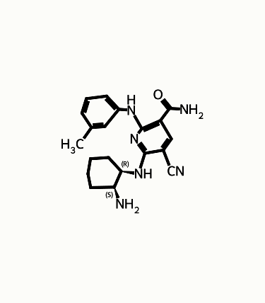 Cc1cccc(Nc2nc(N[C@@H]3CCCC[C@@H]3N)c(C#N)cc2C(N)=O)c1